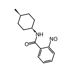 C[C@H]1CC[C@@H](NC(=O)c2ccccc2N=O)CC1